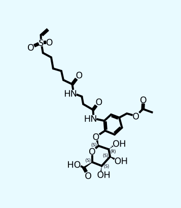 C=CS(=O)(=O)CCCCCC(=O)NCCC(=O)Nc1cc(COC(C)=O)ccc1O[C@@H]1O[C@H](C(=O)O)[C@@H](O)[C@H](O)[C@H]1O